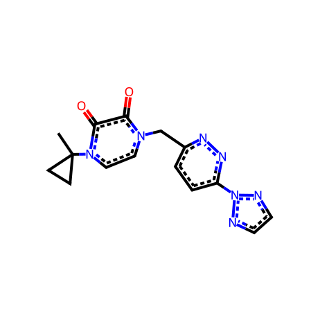 CC1(n2ccn(Cc3ccc(-n4nccn4)nn3)c(=O)c2=O)CC1